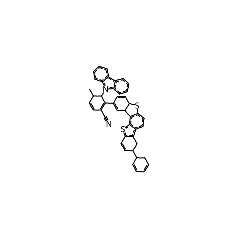 CC1C=CC(C#N)=C(C2=CC3c4c(ccc5c6c(sc45)C=CC(C4C=CC=CC4)C6)SC3C=C2)C1n1c2ccccc2c2ccccc21